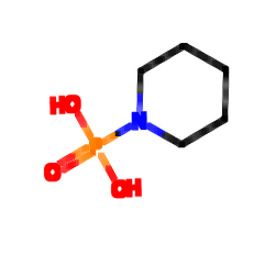 O=P(O)(O)N1CCCCC1